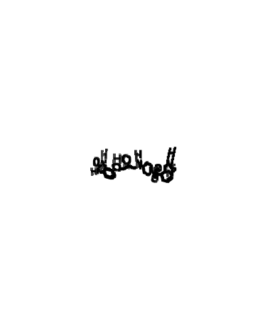 O=c1[nH]c2cccc(OC[C@@H](O)CNC3CCN(S(=O)(=O)C4=CC=CN5SNC=C45)CC3)c2[nH]1